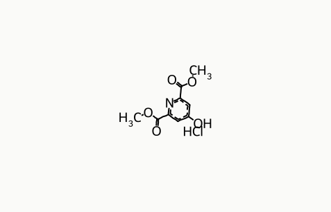 COC(=O)c1cc(O)cc(C(=O)OC)n1.Cl